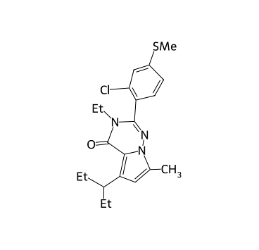 CCC(CC)c1cc(C)n2nc(-c3ccc(SC)cc3Cl)n(CC)c(=O)c12